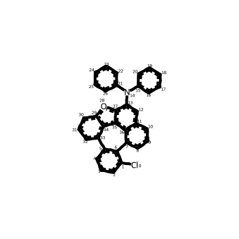 Clc1cccc2c1-c1cccc3cc(N(c4ccccc4)c4ccccc4)c4oc5cccc-2c5c4c13